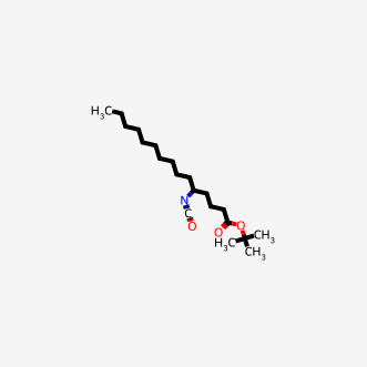 CCCCCCCCCCC(CCCC(=O)OC(C)(C)C)N=C=O